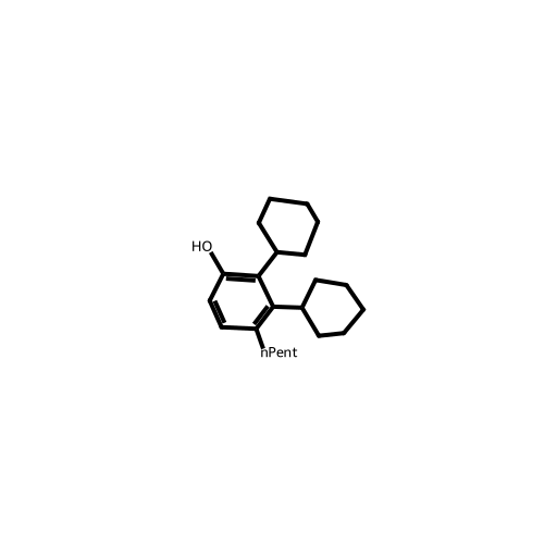 CCCCCc1ccc(O)c(C2CCCCC2)c1C1CCCCC1